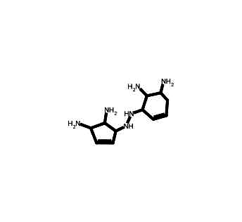 NC1C=CC(NNC2C=CCC(N)C2N)C1N